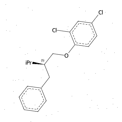 CC(C)[C@@H](COc1ccc(Cl)cc1Cl)Cc1ccccc1